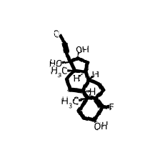 C[C@]12CC[C@H](O)C(F)=C1CC[C@@H]1[C@@H]2CC[C@@]2(C)[C@H]1C[C@@H](O)[C@@]2(O)C#CCl